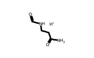 NC(=O)CCNC=O.[H+]